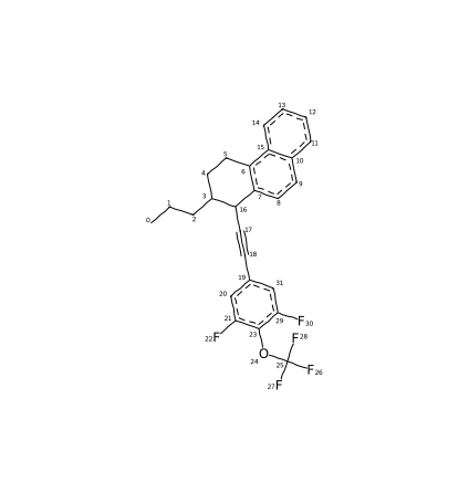 CCCC1CCc2c(ccc3ccccc23)C1C#Cc1cc(F)c(OC(F)(F)F)c(F)c1